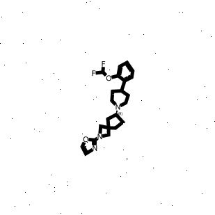 FC(F)Oc1ccccc1C1CCN([C@@H]2CCC3(C2)CN(c2ncco2)C3)CC1